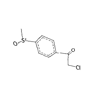 C[S+]([O-])c1ccc(C(=O)CCl)cc1